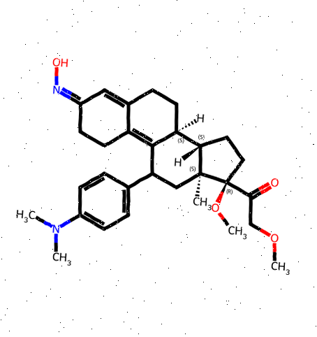 COCC(=O)[C@@]1(OC)CC[C@H]2[C@@H]3CCC4=CC(=NO)CCC4=C3C(c3ccc(N(C)C)cc3)C[C@@]21C